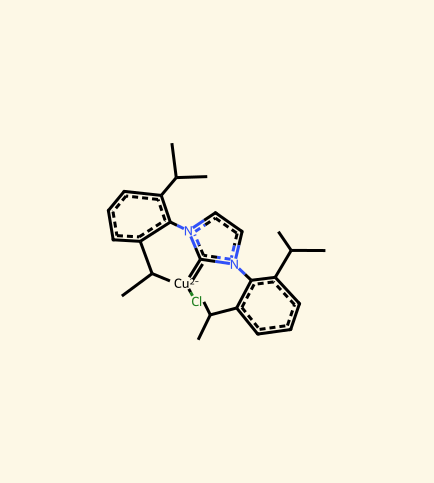 CC(C)c1cccc(C(C)C)c1-n1ccn(-c2c(C(C)C)cccc2C(C)C)[c]1=[Cu-2][Cl]